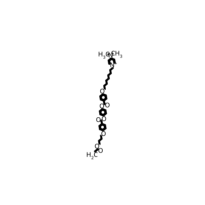 C=CC(=O)OCCCCOc1ccc(C(=O)Oc2ccc(OC(=O)c3ccc(OCCCCCCCCC[n+]4ccc(N(C)C)cc4)cc3)cc2)cc1